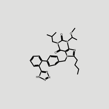 CCCCc1nc2c(c(=O)n(CC(C)C)c(=O)n2C(C)OC)n1Cc1ccc(-c2ccccc2-c2nnn[nH]2)cc1